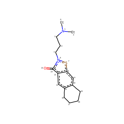 CCN(CC)CCCn1sc2cc3c(cc2c1=O)CCCC3